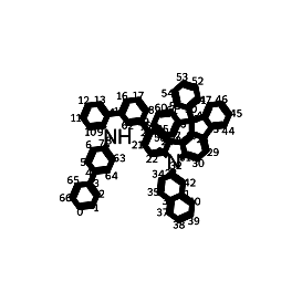 c1ccc(-c2ccc(Nc3ccccc3-c3cccc(-c4ccc5c(c4)c4c6c(ccc4n5-c4ccc5ccccc5c4)-c4ccccc4C6(c4ccccc4)c4ccccc4)c3)cc2)cc1